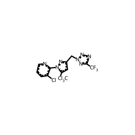 FC(F)(F)c1nnn(Cc2cc(C(Cl)(Cl)Cl)n(-c3ncccc3Cl)n2)n1